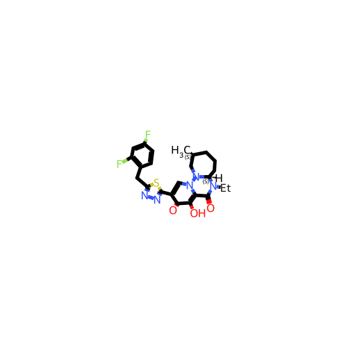 CCN1C(=O)c2c(O)c(=O)c(-c3nnc(Cc4ccc(F)cc4F)s3)cn2N2C[C@@H](C)CCC[C@@H]12